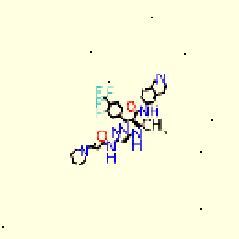 CC1=C(C(=O)NC2C=c3ccncc3=CC2)C(c2ccc(C(F)(F)F)c(F)c2)n2nc(NC(=O)CCN3CCCCC3)cc2N1